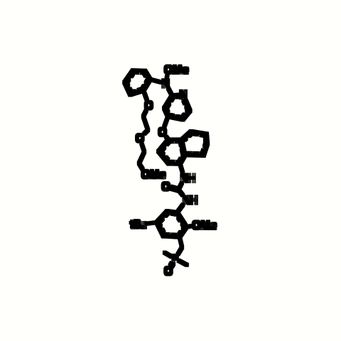 COCCOCCOc1ccccc1N(OC)c1cc(Oc2ccc(NC(=O)Nc3cc(C(C)(C)C)cc(CP(C)(C)=O)c3OC)c3ccccc23)ccn1